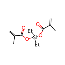 C=C(C)C(=O)O[Si](CC)(CC)OC(=O)C(=C)C